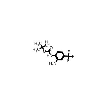 CC(C)(C)OC(=O)Nc1ccc(C(F)(F)F)cc1N